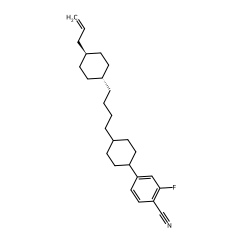 C=CC[C@H]1CC[C@H](CCCCC2CCC(c3ccc(C#N)c(F)c3)CC2)CC1